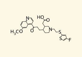 COc1ccc2nccc(C(=O)CCC3CCN(CCSc4cc(F)cs4)CC3CC(=O)O)c2c1